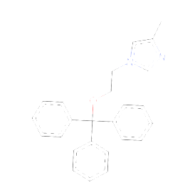 Cc1cn(CCOC(c2ccccc2)(c2ccccc2)c2ccccc2)cn1